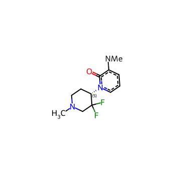 CNc1cccn([C@H]2CCN(C)CC2(F)F)c1=O